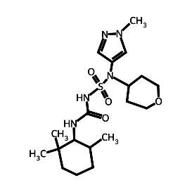 CC1CCCC(C)(C)C1NC(=O)NS(=O)(=O)N(c1cnn(C)c1)C1CCOCC1